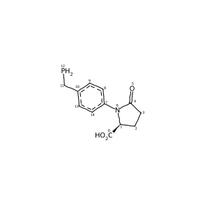 O=C(O)[C@@H]1CCC(=O)N1c1ccc(CP)cc1